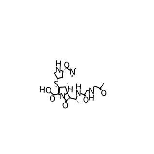 CC(=O)CNCC(=O)N[C@H](C)[C@H]1C(=O)N2C(C(=O)O)=C(S[C@@H]3CN[C@H](C(=O)N(C)C)C3)[C@H](C)[C@@H]12